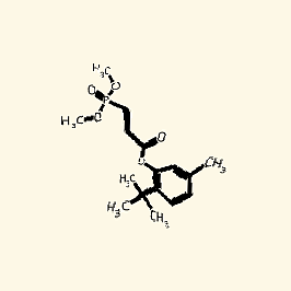 COP(=O)(CCC(=O)Oc1cc(C)ccc1C(C)(C)C)OC